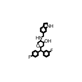 OC1CC(C(c2ccc(F)cc2)c2cccc(F)c2)OCC1NCc1ccc2cc[nH]c2c1